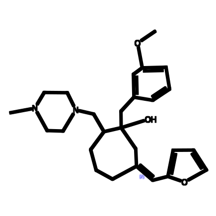 COc1cccc(CC2(O)C/C(=C\c3ccco3)CCCC2CN2CCN(C)CC2)c1